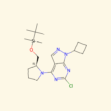 CC(C)(C)[Si](C)(C)OC[C@@H]1CCCN1c1nc(Cl)nc2c1cnn2C1CCC1